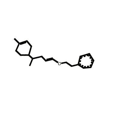 CC1=CCC(C(C)CC=COCCc2ccccc2)CC1